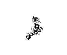 CN1CCN(c2ccc(Nc3ncc(Cl)c(Nc4ccc(CNS(=O)(=O)NC5CC5)cc4)n3)cn2)CC1